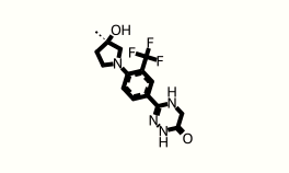 C[C@@]1(O)CCN(c2ccc(C3=NNC(=O)CN3)cc2C(F)(F)F)C1